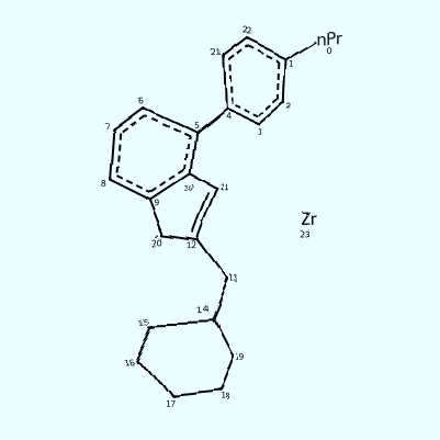 CCCc1ccc(-c2cccc3c2C=C(CC2CCCCC2)[CH]3)cc1.[Zr]